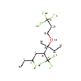 CCC(F)CC(C(F)(F)F)C(C)(CC)OCCC(F)(F)F